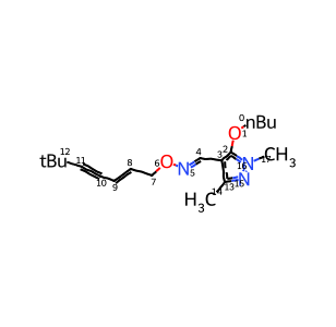 CCCCOc1c(C=NOCC=CC#CC(C)(C)C)c(C)nn1C